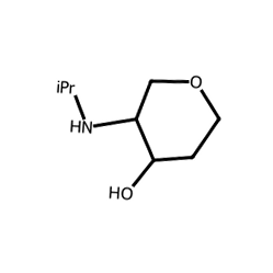 CC(C)NC1COCCC1O